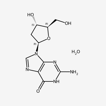 Nc1nc2c(ncn2[C@H]2C[C@H](O)[C@@H](CO)O2)c(=O)[nH]1.O